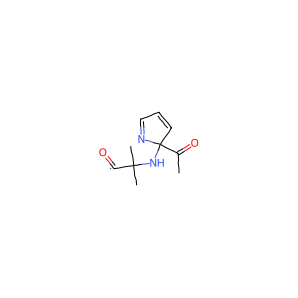 CC(=O)C1(NC(C)(C)[C]=O)C=CC=N1